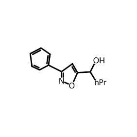 CCCC(O)c1cc(-c2ccccc2)no1